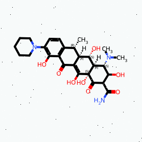 C[C@H]1c2ccc(N3CCCCC3)c(O)c2C(=O)C2=C(O)[C@]3(O)C(=O)C(C(N)=O)C(O)[C@@H](N(C)C)[C@@H]3[C@@H](O)[C@@H]21